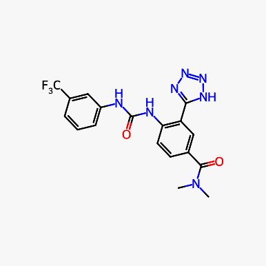 CN(C)C(=O)c1ccc(NC(=O)Nc2cccc(C(F)(F)F)c2)c(-c2nnn[nH]2)c1